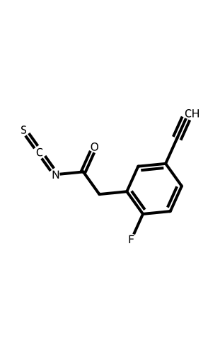 C#Cc1ccc(F)c(CC(=O)N=C=S)c1